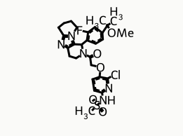 COC(C)(C)c1ccc(C2c3c(nc4n3CCCC4)CCN2C(=O)COc2ccc(NS(C)(=O)=O)nc2Cl)c(F)c1